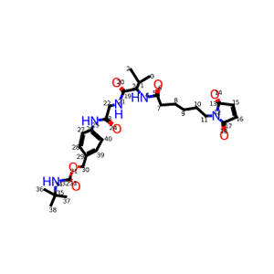 CC(C)C(NC(=O)CCCCCN1C(=O)C=CC1=O)C(=O)NCC(=O)Nc1ccc(COC(=O)NC(C)(C)C)cc1